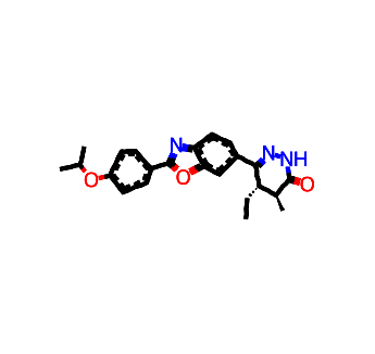 CC[C@@H]1C(c2ccc3nc(-c4ccc(OC(C)C)cc4)oc3c2)=NNC(=O)[C@H]1C